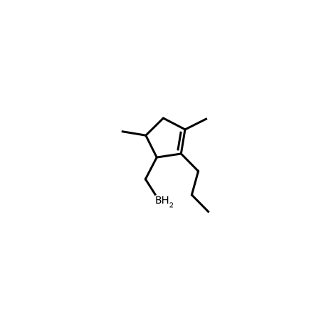 BCC1C(CCC)=C(C)CC1C